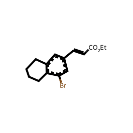 CCOC(=O)/C=C/c1cc(Br)c2c(c1)CCCC2